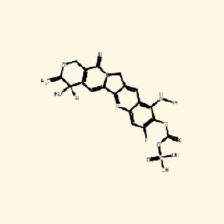 C=C1OCc2c(cc3n(c2=O)Cc2cc4c(NC(C)C)c(OC(=O)OP(=O)(O)O)c(F)cc4nc2-3)[C@@]1(O)CC